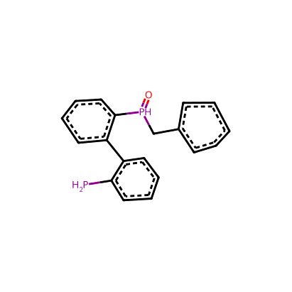 O=[PH](Cc1ccccc1)c1ccccc1-c1ccccc1P